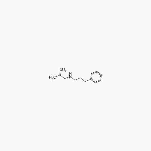 C=C(C)CNCCCc1ccccc1